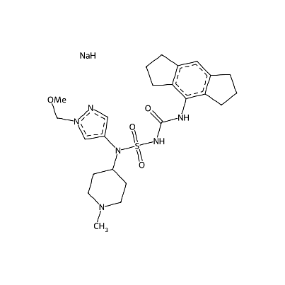 COCn1cc(N(C2CCN(C)CC2)S(=O)(=O)NC(=O)Nc2c3c(cc4c2CCC4)CCC3)cn1.[NaH]